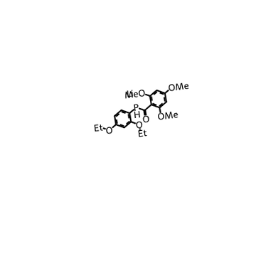 CCOc1ccc(PC(=O)c2c(OC)cc(OC)cc2OC)c(OCC)c1.[Li]